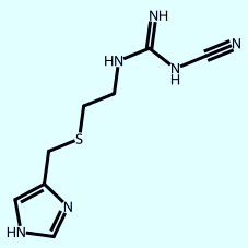 N#CNC(=N)NCCSCc1c[nH]cn1